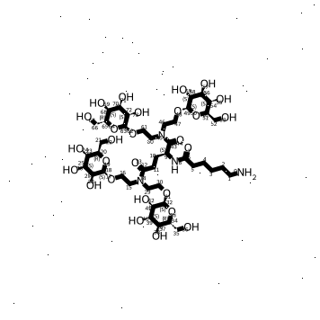 NCCCCCC(=O)N[C@@H](CCC(=O)N(CCO[C@H]1O[C@H](CO)[C@@H](O)[C@H](O)[C@@H]1O)CCO[C@H]1O[C@H](CO)[C@@H](O)[C@H](O)[C@@H]1O)C(=O)N(CCO[C@H]1O[C@H](CO)[C@@H](O)[C@H](O)[C@@H]1O)CCO[C@H]1O[C@H](CO)[C@@H](O)[C@H](O)[C@@H]1O